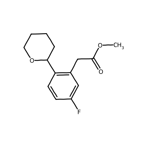 COC(=O)Cc1cc(F)ccc1C1CCCCO1